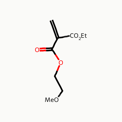 C=C(C(=O)OCC)C(=O)OCCOC